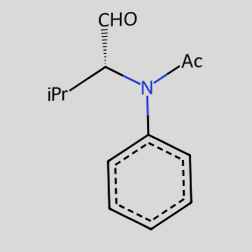 CC(=O)N(c1ccccc1)[C@@H](C=O)C(C)C